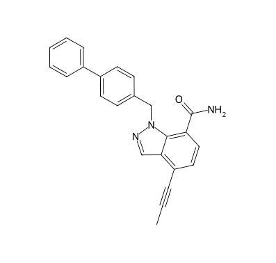 CC#Cc1ccc(C(N)=O)c2c1cnn2Cc1ccc(-c2ccccc2)cc1